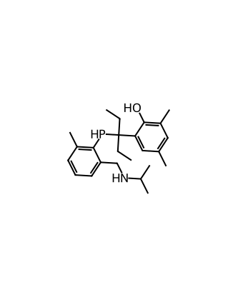 CCC(CC)(Pc1c(C)cccc1CNC(C)C)c1cc(C)cc(C)c1O